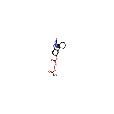 CCCC(=O)OCOC(=O)Oc1ccc2c(c1)[C@@]13CCCC[C@H]1[C@@H](C2)N(C)CC3